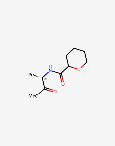 COC(=O)[C@@H](NC(=O)C1CCCCO1)C(C)C